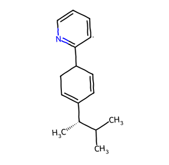 CC(C)[C@H](C)C1=CCC(c2[c]cccn2)C=C1